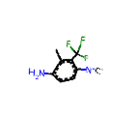 [C-]#[N+]c1ccc(N)c(C)c1C(F)(F)F